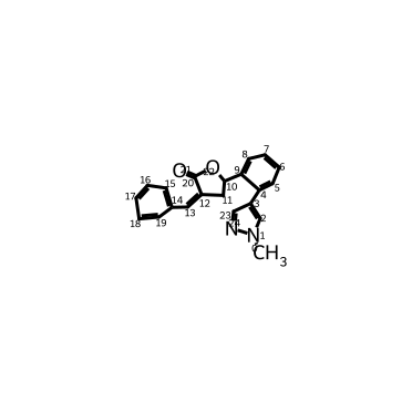 Cn1cc(-c2ccccc2C2C/C(=C/c3ccccc3)C(=O)O2)cn1